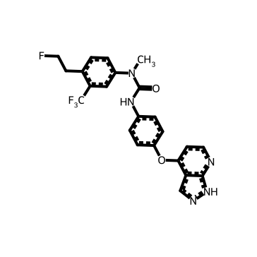 CN(C(=O)Nc1ccc(Oc2ccnc3[nH]ncc23)cc1)c1ccc(CCF)c(C(F)(F)F)c1